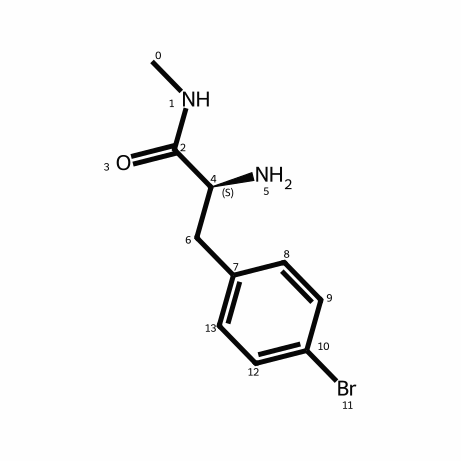 CNC(=O)[C@@H](N)Cc1ccc(Br)cc1